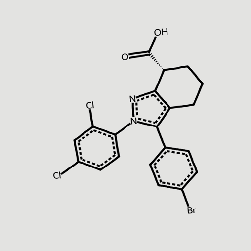 O=C(O)[C@@H]1CCCc2c1nn(-c1ccc(Cl)cc1Cl)c2-c1ccc(Br)cc1